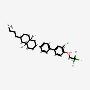 CCCCC1CC[C@@H]2C[C@H](c3ccc(-c4ccc(OCC(F)(F)F)c(F)c4)cc3)CC[C@@H]2C1